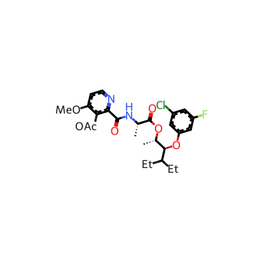 CCC(CC)[C@H](Oc1cc(F)cc(Cl)c1)[C@H](C)OC(=O)[C@H](C)NC(=O)c1nccc(OC)c1OC(C)=O